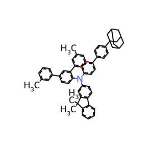 Cc1cccc(-c2ccc(N(c3ccc(-c4ccc(C56CC7CC(CC(C7)C5)C6)cc4)cc3)c3ccc4c(c3)C(C)(C)c3ccccc3-4)c(-c3cccc(C)c3)c2)c1